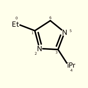 CCC1=NC(C(C)C)=NC1